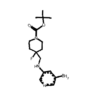 Bc1cncc(NCC2(F)CCN(C(=O)OC(C)(C)C)CC2)c1